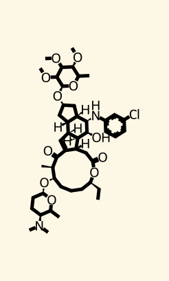 CC[C@H]1CCC[C@H](O[C@H]2CC[C@H](N(C)C)C(C)O2)[C@@H](C)C(=O)C2=C[C@H]3[C@@H]4C[C@H](O[C@@H]5OC(C)[C@H](OC)C(OC)C5OC)C[C@H]4[C@H](Nc4cccc(Cl)c4)[C@@H](O)[C@H]3[C@@H]2CC(=O)O1